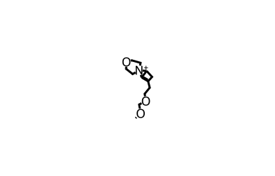 COCOCCC1=C2C(C1)[N+]21CCOCC1